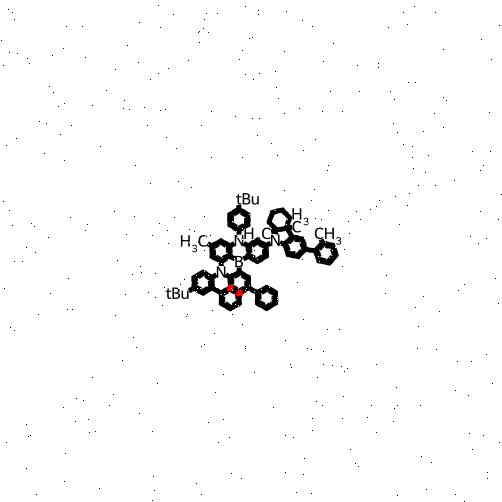 Cc1cc2c3c(c1)N(c1ccc(C(C)(C)C)cc1-c1ccccc1)c1ccc(-c4ccccc4)cc1B3c1ccc(N3c4ccc(-c5ccccc5C)cc4C4(C)CCCCC34C)cc1N2c1ccc(C(C)(C)C)cc1